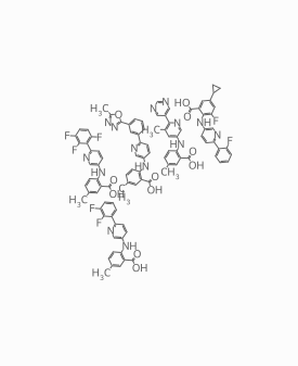 Cc1ccc(Nc2ccc(-c3c(F)ccc(F)c3F)nc2)c(C(=O)O)c1.Cc1ccc(Nc2ccc(-c3cccc(-c4nnc(C)o4)c3)nc2)c(C(=O)O)c1.Cc1ccc(Nc2ccc(-c3cccc(F)c3F)nc2)c(C(=O)O)c1.Cc1ccc(Nc2cnc(-c3cncnc3)c(C)c2)c(C(=O)O)c1.O=C(O)c1cc(C2CC2)cc(F)c1Nc1ccc(-c2ccccc2F)nc1